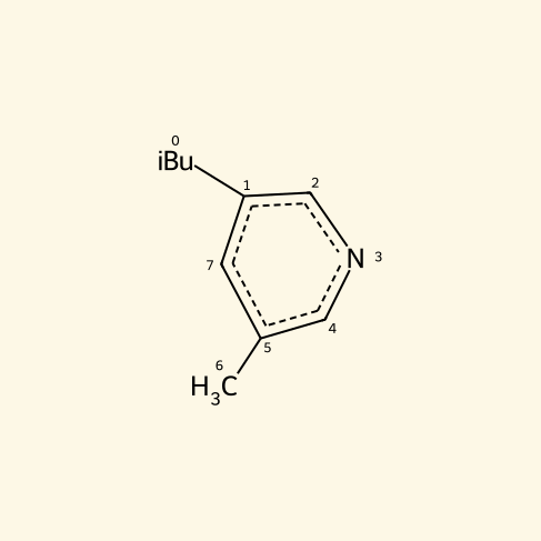 CCC(C)c1cncc(C)c1